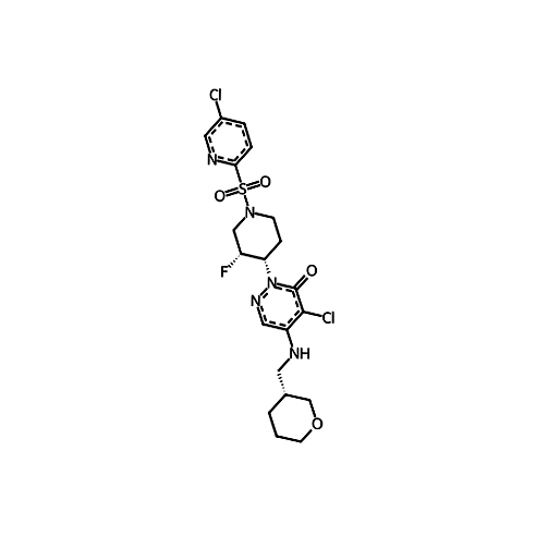 O=c1c(Cl)c(NC[C@H]2CCCOC2)cnn1[C@H]1CCN(S(=O)(=O)c2ccc(Cl)cn2)C[C@H]1F